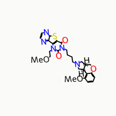 COCCn1c(=O)n(CCCCN2C[C@@H]3COc4cccc(OC)c4[C@H]3C2)c(=O)c2sc3nccnc3c21